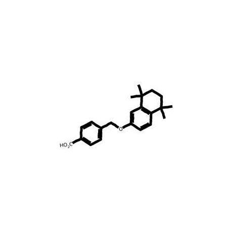 CC1(C)CCC(C)(C)c2cc(OCc3ccc(C(=O)O)cc3)ccc21